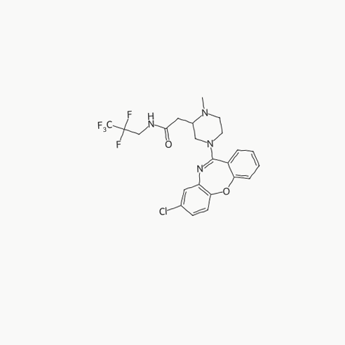 CN1CCN(C2=Nc3cc(Cl)ccc3Oc3ccccc32)CC1CC(=O)NCC(F)(F)C(F)(F)F